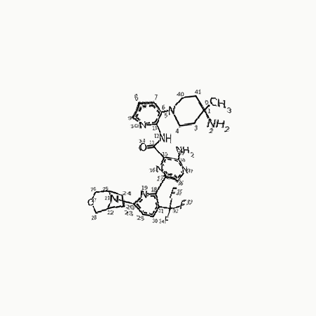 CC1(N)CCN(c2cccnc2NC(=O)c2nc(-c3nc(N4C5CCC4COC5)ccc3C(F)(F)F)cnc2N)CC1